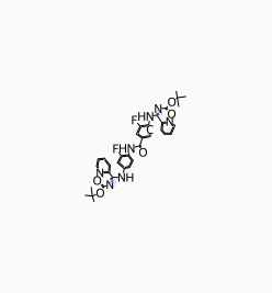 CC(C)(C)OC(=O)/N=C(/Nc1ccc(NC(=O)c2ccc(N/C(=N/C(=O)OC(C)(C)C)c3ccccn3)c(F)c2)c(F)c1)c1ccccn1